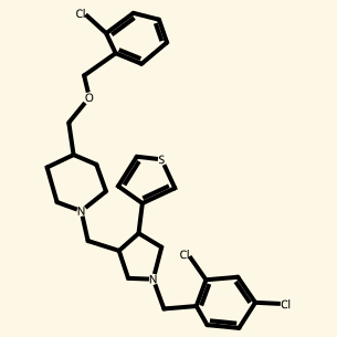 Clc1ccc(CN2CC(CN3CCC(COCc4ccccc4Cl)CC3)C(c3ccsc3)C2)c(Cl)c1